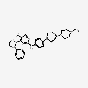 CN1CCN(C2CCN(c3ccc(Nc4ncc(C(F)(F)F)c(N5OCCC5c5ccccc5)n4)cc3)CC2)CC1